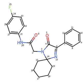 O=C(CN1C(=O)C(c2ccccc2)=NC12CCCCC2)Nc1ccc(F)cc1